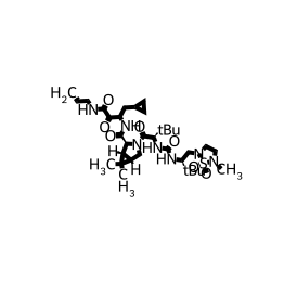 C=CCNC(=O)C(=O)C(CC1CC1)NC(=O)[C@@H]1[C@@H]2[C@H](CN1C(=O)[C@@H](NC(=O)N[C@H](CN1CCN(C)S1(=O)=O)C(C)(C)C)C(C)(C)C)C2(C)C